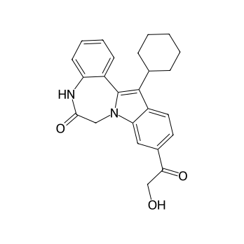 O=C1Cn2c(c(C3CCCCC3)c3ccc(C(=O)CO)cc32)-c2ccccc2N1